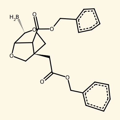 B[C@@H]1OC[C@]2(CC(=O)OCc3ccccc3)COC1C2C(=O)OCc1ccccc1